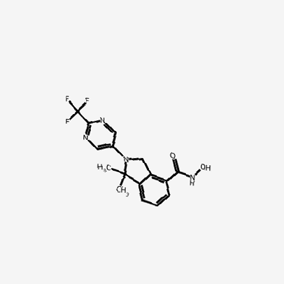 CC1(C)c2cccc(C(=O)NO)c2CN1c1cnc(C(F)(F)F)nc1